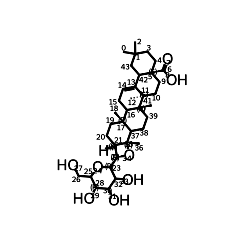 CC1(C)CC[C@]2(C(=O)O)CC[C@]3(C)C(=CCC4[C@@]5(C)CC[C@@H]6[C@H]([C@@H]7OC(CO)[C@H](O)C(O)C7O)O[C@@]6(C)C5CC[C@]43C)C2C1